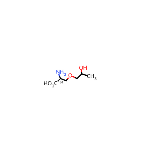 CC(O)COC[C@H](N)C(=O)O